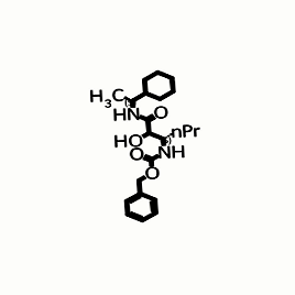 CCC[C@H](NC(=O)OCc1ccccc1)C(O)C(=O)N[C@@H](C)C1CCCCC1